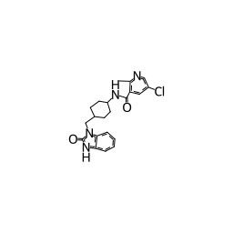 Cc1ncc(Cl)cc1C(=O)NC1CCC(Cn2c(=O)[nH]c3ccccc32)CC1